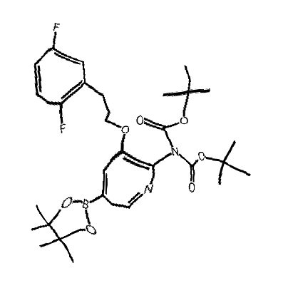 CC(C)(C)OC(=O)N(C(=O)OC(C)(C)C)c1ncc(B2OC(C)(C)C(C)(C)O2)cc1OCCc1cc(F)ccc1F